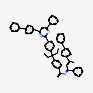 C=C(/N=C(\C=C(/C)c1ccc(-c2ccccc2)cc1)c1ccccc1)c1ccc(C(CC)(CC)c2ccc(-c3nc(-c4ccccc4)cc(-c4ccc(-c5ccccc5)cc4)n3)cc2)cc1